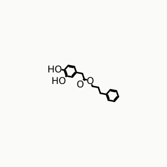 O=C(Cc1ccc(O)c(O)c1)OCCCc1ccccc1